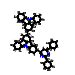 c1ccc(-c2cc(-c3ccc4c(c3)c3cc(-c5cc6c7ccccc7n7c8ccccc8c(c5)c67)cc5c6ccccc6n4c53)nc(-c3ccccc3)n2)cc1